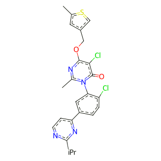 Cc1cc(COc2nc(C)n(-c3cc(-c4ccnc(C(C)C)n4)ccc3Cl)c(=O)c2Cl)cs1